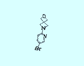 Brc1ccc(N2CC3(COC3)C2)nc1